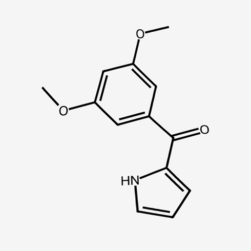 COc1cc(OC)cc(C(=O)c2ccc[nH]2)c1